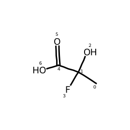 CC(O)(F)C(=O)O